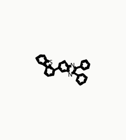 c1ccc(-c2nc3ccc(-c4cccc5c4sc4ccccc45)cc3nc2-c2ccccc2)cc1